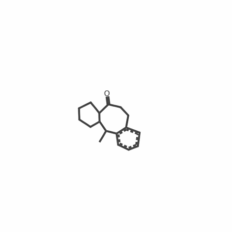 CC1c2ccccc2CCC(=O)C2CCCCC21